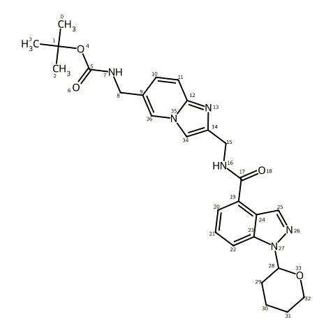 CC(C)(C)OC(=O)NCc1ccc2nc(CNC(=O)c3cccc4c3cnn4C3CCCCO3)cn2c1